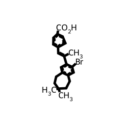 CC(=Cc1ccc(C(=O)O)cc1)c1cc2c(cc1Br)CCC(C)(C)CC2